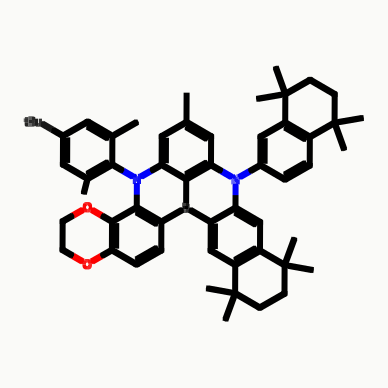 Cc1cc2c3c(c1)N(c1c(C)cc(C(C)(C)C)cc1C)c1c(ccc4c1OCCO4)B3c1cc3c(cc1N2c1ccc2c(c1)C(C)(C)CCC2(C)C)C(C)(C)CCC3(C)C